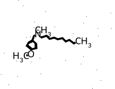 CCCCCCCCCCN(C)Cc1ccc(OC)cc1